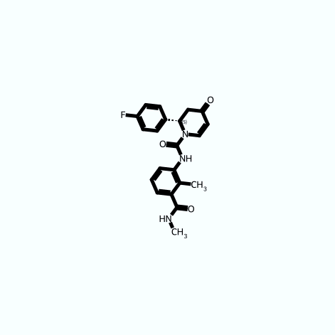 CNC(=O)c1cccc(NC(=O)N2C=CC(=O)C[C@H]2c2ccc(F)cc2)c1C